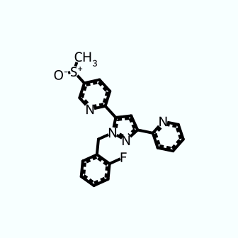 C[S+]([O-])c1ccc(-c2cc(-c3ccccn3)nn2Cc2ccccc2F)nc1